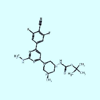 CNc1nc(-c2cc(F)c(C#N)c(F)c2)cc(N2C[C@H](C)C[C@@H](NC(=O)OC(C)(C)C)C2)n1